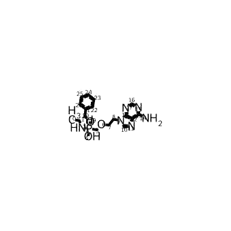 CCN[PH](O)(COCCn1cnc2c(N)ncnc21)OCc1ccccc1